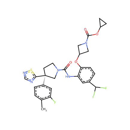 Cc1ccc([C@]2(c3ncns3)CCN(C(=O)Nc3cc(C(F)F)ccc3OC3CN(C(=O)OC4CC4)C3)C2)cc1F